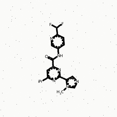 CC(C)c1cc(C(=O)Nc2ccc(C(F)F)nc2)nc(-c2cncn2C)n1